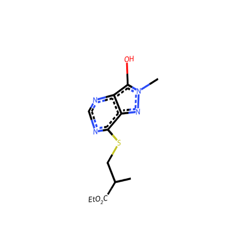 CCOC(=O)C(C)CSc1ncnc2c(O)n(C)nc12